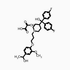 COc1cc(C(C)O)ccc1OCCCN1CCC(C(O)(c2ccc(F)cc2)c2ccc(F)cc2)CC1.O=C(O)C(=O)O